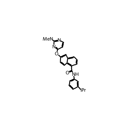 CNc1nccc(Oc2ccc3c(C(=O)Nc4cccc(C(C)C)c4)cccc3c2)n1